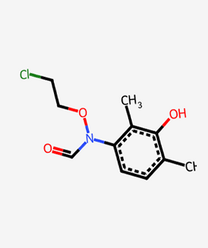 Cc1ccc(N(C=O)OCCCl)c(C)c1O